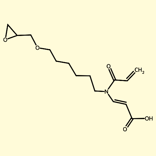 C=CC(=O)N(C=CC(=O)O)CCCCCCOCC1CO1